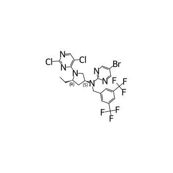 CC[C@@H]1C[C@H](N(Cc2cc(C(F)(F)F)cc(C(F)(F)F)c2)c2ncc(Br)cn2)CN1c1nc(Cl)ncc1Cl